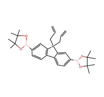 C=CC[Si]1(CC=C)c2cc(B3OC(C)(C)C(C)(C)O3)ccc2-c2ccc(B3OC(C)(C)C(C)(C)O3)cc21